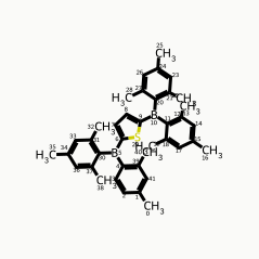 Cc1ccc(B(c2ccc(B(c3c(C)cc(C)cc3C)c3c(C)cc(C)cc3C)s2)c2c(C)cc(C)cc2C)c(C)c1